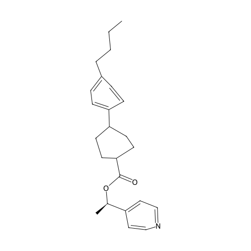 CCCCc1ccc(C2CCC(C(=O)O[C@H](C)c3ccncc3)CC2)cc1